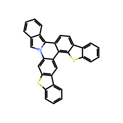 c1ccc2c(c1)cn1c3cc4sc5ccccc5c4cc3c3c(ccc4c5ccccc5sc43)c21